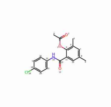 CC(=O)Oc1c(C)cc(C)cc1C(=O)Nc1ccc(Cl)cc1